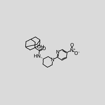 O=C(N[C@H]1CCCN(c2ccc([N+](=O)[O-])cn2)C1)C12CC3CC(C1)C(O)C(C3)C2